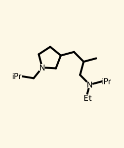 CCN(CC(C)CC1CCN(CC(C)C)C1)C(C)C